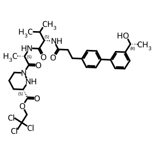 CC(C)[C@H](NC(=O)CCc1ccc(-c2cccc([C@@H](C)O)c2)cc1)C(=O)N[C@@H](C)C(=O)N1CCC[C@@H](C(=O)OCC(Cl)(Cl)Cl)N1